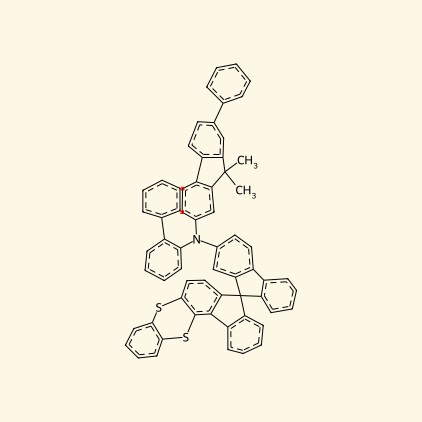 CC1(C)c2cc(-c3ccccc3)ccc2-c2ccc(N(c3ccc4c(c3)C3(c5ccccc5-4)c4ccccc4-c4c3ccc3c4Sc4ccccc4S3)c3ccccc3-c3ccccc3)cc21